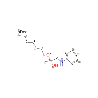 CCCCCCCCCCCCCCCCCOC(C)(O)CNc1ccccc1